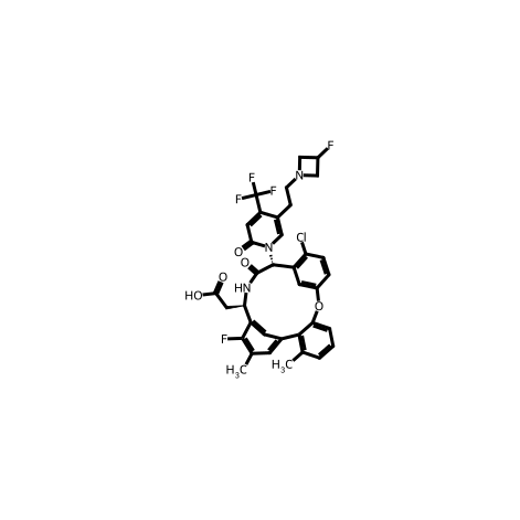 Cc1cc2cc(c1F)[C@@H](CC(=O)O)NC(=O)[C@H](n1cc(CCN3CC(F)C3)c(C(F)(F)F)cc1=O)c1cc(ccc1Cl)Oc1cccc(C)c1-2